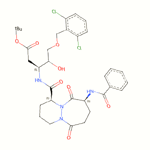 CC(C)(C)OC(=O)C[C@H](NC(=O)[C@@H]1CCCN2C(=O)CC[C@H](NC(=O)c3ccccc3)C(=O)N12)C(O)COCc1c(Cl)cccc1Cl